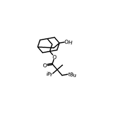 CC(C)C(C)(CC(C)(C)C)C(=O)OC12CC3CC(CC(O)(C3)C1)C2